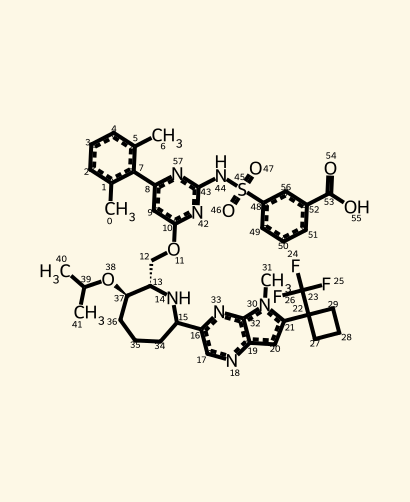 Cc1cccc(C)c1-c1cc(OC[C@@H]2NC(c3cnc4cc(C5(C(F)(F)F)CCC5)n(C)c4n3)CCC[C@H]2OC(C)C)nc(NS(=O)(=O)c2cccc(C(=O)O)c2)n1